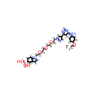 OB(O)c1ccc2c(ccn2CCOCCOCCOCCn2cc(-c3cc(Nc4ccc(OC(F)(F)F)cc4)ncn3)cn2)c1